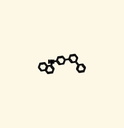 C1=Cc2c(cccc2NC2=CCC(C3=CC(c4ccccc4)CC=C3)C=C2)CC1